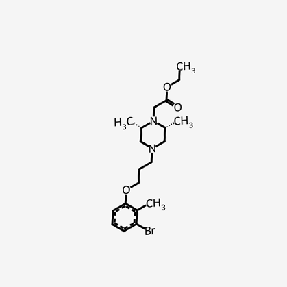 CCOC(=O)CN1[C@H](C)CN(CCCOc2cccc(Br)c2C)C[C@@H]1C